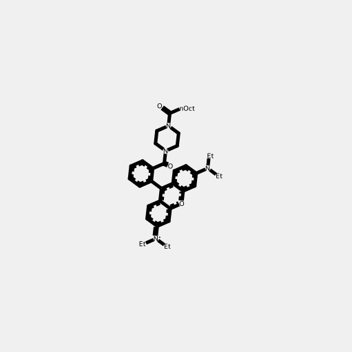 CCCCCCCCC(=O)N1CCN(C(=O)c2ccccc2-c2c3ccc(=[N+](CC)CC)cc-3oc3cc(N(CC)CC)ccc23)CC1